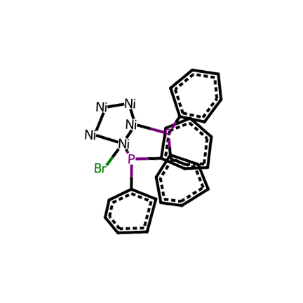 [Br][Ni]1([P](c2ccccc2)c2ccccc2)[Ni][Ni][Ni][Ni]1[P](c1ccccc1)c1ccccc1